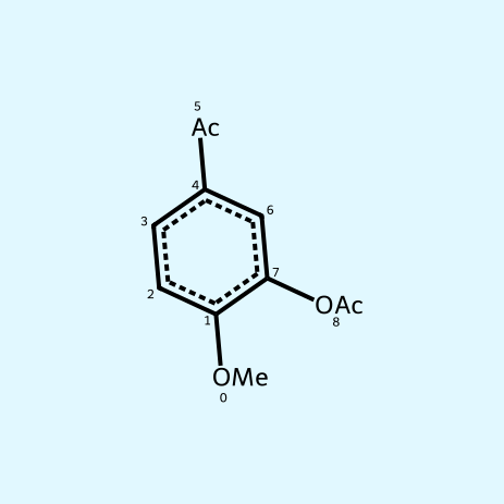 COc1ccc(C(C)=O)cc1OC(C)=O